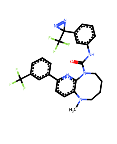 CN1CCCCN(C(=O)Nc2cccc(C3(C(F)(F)F)N=N3)c2)c2nc(-c3cccc(C(F)(F)F)c3)ccc21